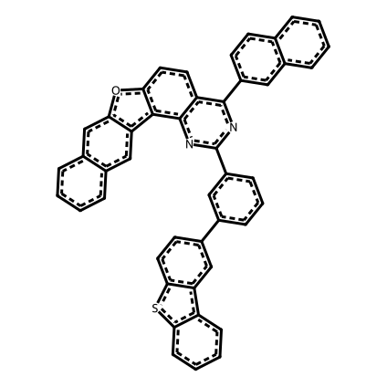 c1cc(-c2ccc3sc4ccccc4c3c2)cc(-c2nc(-c3ccc4ccccc4c3)c3ccc4oc5cc6ccccc6cc5c4c3n2)c1